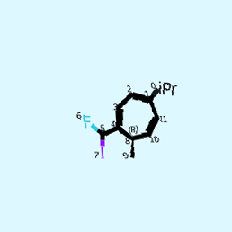 CC(C)C1=CC=C(C(F)I)[C@H](C)C=C1